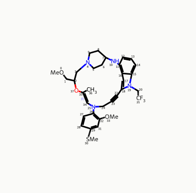 COCC1CN2CCC(CC2)Nc2cccc3c2cc(n3CC(F)(F)F)C#CCN(c2ccc(SC)cc2OC)/C=C(\C)O1